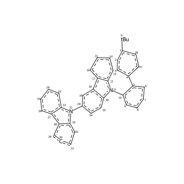 CC(C)(C)c1ccc(-c2ccccc2-n2c3ccccc3c3cc(-n4c5ccccc5c5ccccc54)ccc32)cc1